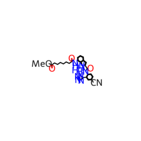 COC(=O)CCCCCCC(=O)Nc1cccc2cc(C(=O)Nc3ccc(C#N)cc3-c3nnn[nH]3)[nH]c12